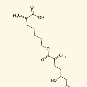 C=C(CCCCCOC(=O)C(=C)CCC(O)CC)C(=O)O